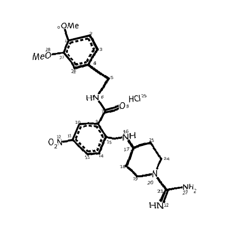 COc1ccc(CNC(=O)c2cc([N+](=O)[O-])ccc2NC2CCN(C(=N)N)CC2)cc1OC.Cl